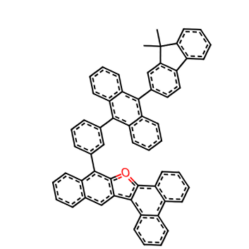 CC1(C)c2ccccc2-c2ccc(-c3c4ccccc4c(-c4cccc(-c5c6ccccc6cc6c5oc5c7ccccc7c7ccccc7c65)c4)c4ccccc34)cc21